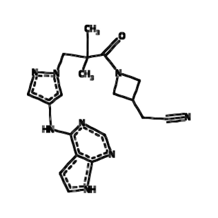 CC(C)(Cn1cc(Nc2ncnc3[nH]ccc23)cn1)C(=O)N1CC(CC#N)C1